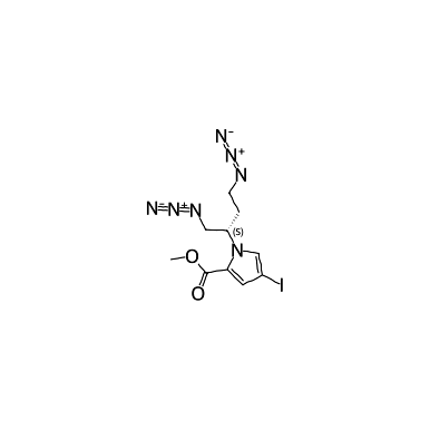 COC(=O)c1cc(I)cn1[C@@H](CCN=[N+]=[N-])CN=[N+]=[N-]